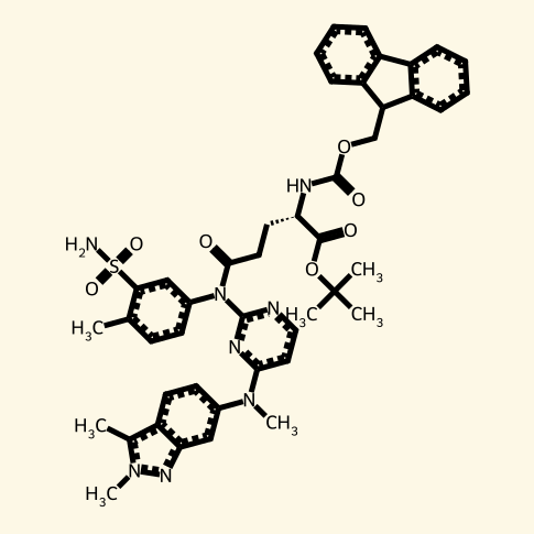 Cc1ccc(N(C(=O)CC[C@H](NC(=O)OCC2c3ccccc3-c3ccccc32)C(=O)OC(C)(C)C)c2nccc(N(C)c3ccc4c(C)n(C)nc4c3)n2)cc1S(N)(=O)=O